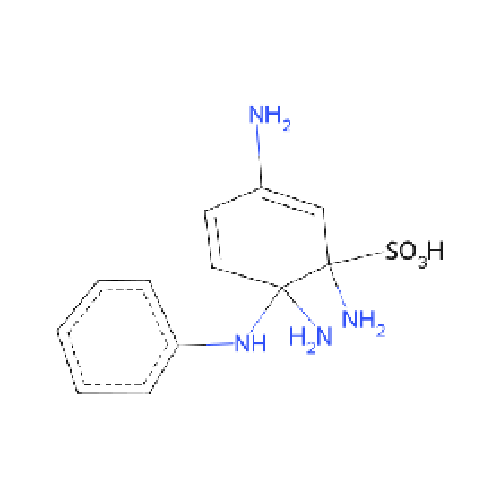 NC1=CC(N)(S(=O)(=O)O)C(N)(Nc2ccccc2)C=C1